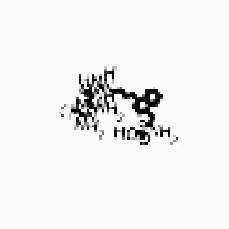 N=C(NCCCCc1ccc(C[C@H](N)SC(=O)O)c2ccccc12)NC(=O)c1nc(Cl)c(N)nc1N